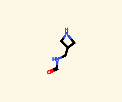 O=[C]NCC1CNC1